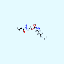 CC=CC(=O)NCCOC(=O)NCCC=C(C)C(=O)O